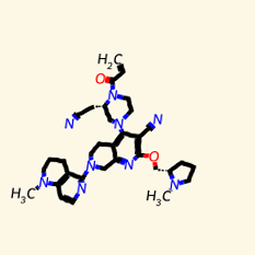 C=CC(=O)N1CCN(c2c(C#N)c(OC[C@@H]3CCCN3C)nc3c2CCN(c2nccc4c2CCCN4C)C3)C[C@@H]1CC#N